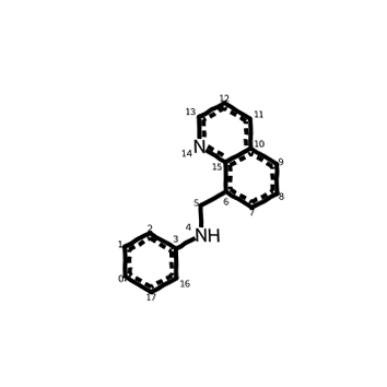 [c]1ccc(NCc2cccc3cccnc23)cc1